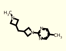 Cc1cnc(N2CC(CC3CN(C)C3)C2)nc1